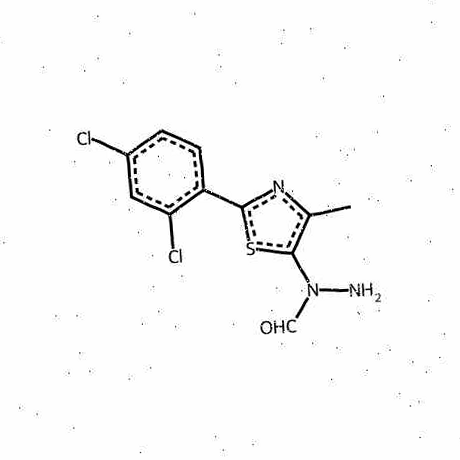 Cc1nc(-c2ccc(Cl)cc2Cl)sc1N(N)C=O